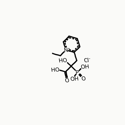 CC[n+]1ccccc1CC(O)(C(=O)O)P(=O)(O)O.[Cl-]